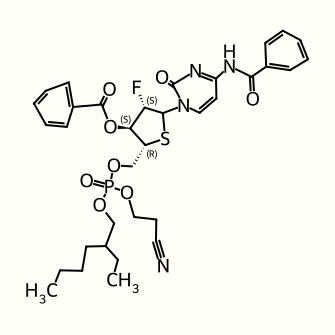 CCCCC(CC)COP(=O)(OCCC#N)OC[C@H]1SC(n2ccc(NC(=O)c3ccccc3)nc2=O)[C@@H](F)[C@@H]1OC(=O)c1ccccc1